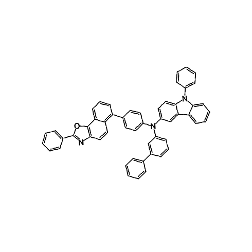 c1ccc(-c2cccc(N(c3ccc(-c4cccc5c4ccc4nc(-c6ccccc6)oc45)cc3)c3ccc4c(c3)c3ccccc3n4-c3ccccc3)c2)cc1